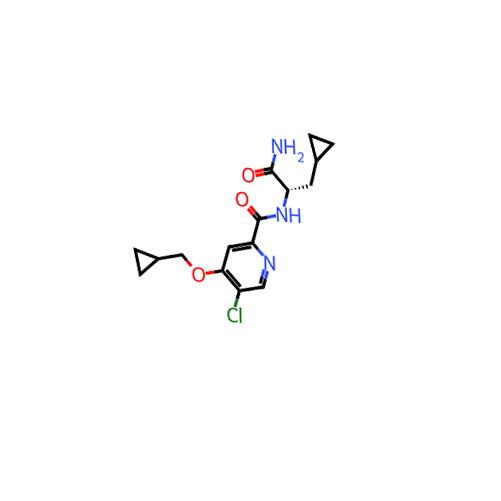 NC(=O)[C@H](CC1CC1)NC(=O)c1cc(OCC2CC2)c(Cl)cn1